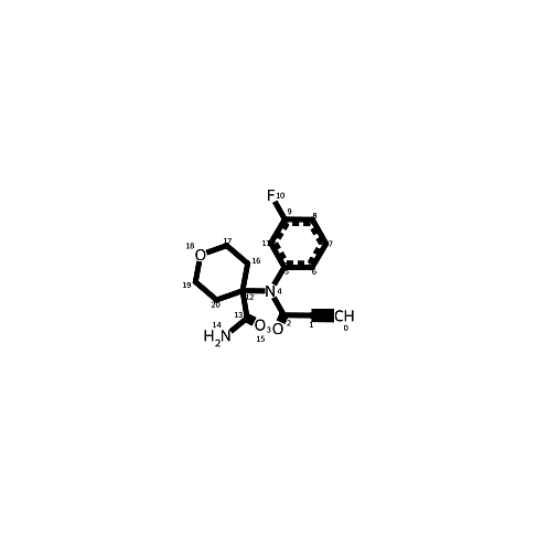 C#CC(=O)N(c1cccc(F)c1)C1(C(N)=O)CCOCC1